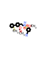 COCOc1cc(-c2ccccc2SC)ccc1CCNS(=O)(=O)c1cc(C#N)ccc1OC